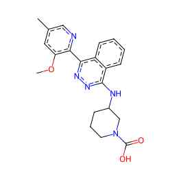 COc1cc(C)cnc1-c1nnc(NC2CCCN(C(=O)O)C2)c2ccccc12